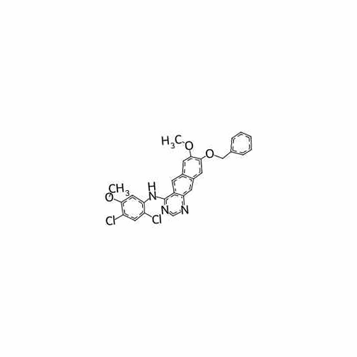 COc1cc(Nc2ncnc3cc4cc(OCc5ccccc5)c(OC)cc4cc23)c(Cl)cc1Cl